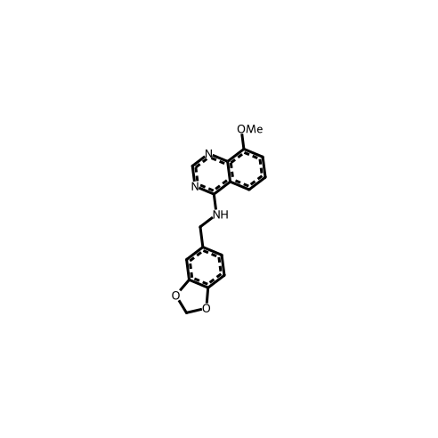 COc1cccc2c(NCc3ccc4c(c3)OCO4)ncnc12